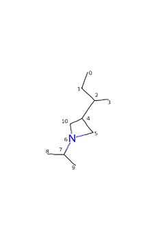 CCC(C)C1CN(C(C)C)C1